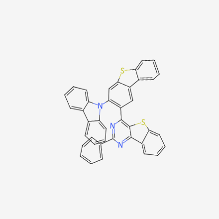 c1ccc(-c2nc(-c3cc4c(cc3-n3c5ccccc5c5ccccc53)sc3ccccc34)c3sc4ccccc4c3n2)cc1